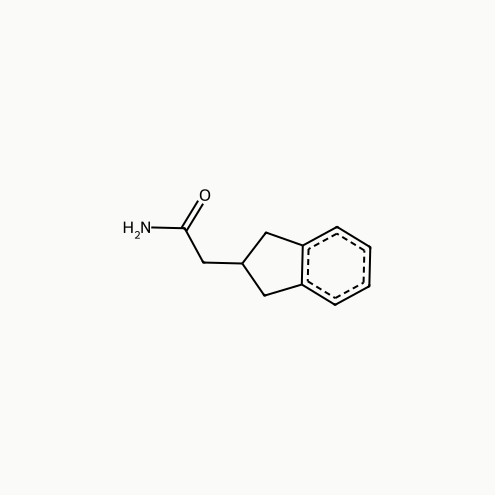 NC(=O)CC1Cc2ccccc2C1